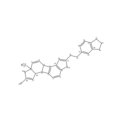 CC12C=CC3c4c(ccc5sc(CCc6ccc7c(c6)CCC7)cc45)C3C1C=C(F)S2